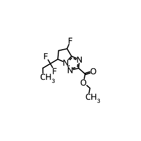 CCOC(=O)c1nc2n(n1)C(C(F)(F)CC)CC2F